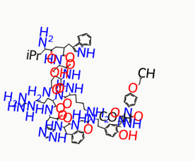 C#CCOc1ccc(-n2c(=O)[nH]n(-c3cc(CC(NC(=O)CNC(=O)C(Cc4ccccc4)NC(=O)C(Cc4c[nH]cn4)NC(=O)C(CCCNC(=N)N)NC(=O)C(CCCCN)NC(=O)C(CCC(N)=O)NC(=O)C(CO)NC(=O)C(CC(=O)C(N)C(C)C)Cc4c[nH]c5ccccc45)C(=O)O)ccc3O)c2=O)cc1